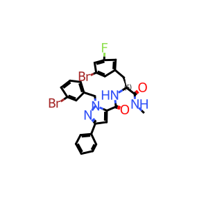 CNC(=O)[C@H](Cc1cc(F)cc(Br)c1)NC(=O)c1cc(-c2ccccc2)nn1Cc1cccc(Br)c1